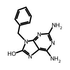 Nc1nc(N)c2nc(O)n(Cc3ccccc3)c2n1